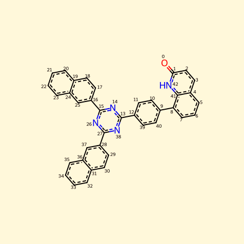 O=c1ccc2cccc(-c3ccc(-c4nc(-c5ccc6ccccc6c5)nc(-c5ccc6ccccc6c5)n4)cc3)c2[nH]1